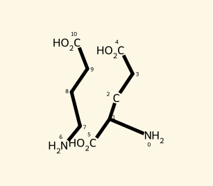 NC(CCC(=O)O)C(=O)O.NCCCC(=O)O